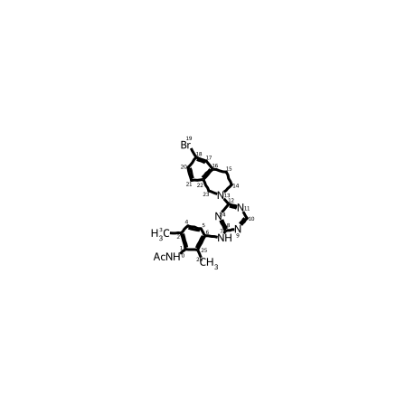 CC(=O)Nc1c(C)ccc(Nc2ncnc(N3CCc4cc(Br)ccc4C3)n2)c1C